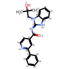 CC(C)(O)Cn1/c(=N/C(=O)c2ccnc(-c3ccccc3)c2)[nH]c2ccccc21